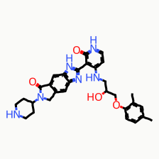 Cc1ccc(OCC(O)CNc2cc[nH]c(=O)c2-c2nc3cc4c(cc3[nH]2)C(=O)N(C2CCNCC2)C4)c(C)c1